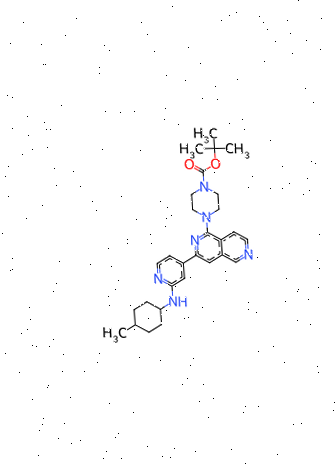 CC1CCC(Nc2cc(-c3cc4cnccc4c(N4CCN(C(=O)OC(C)(C)C)CC4)n3)ccn2)CC1